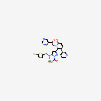 CC(C)(C)C(=O)n1nc(-c2c(-c3cccnc3)ccc(=O)n2CC(=O)c2cncnc2)cc1NCc1ccc(Cl)s1